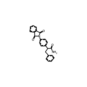 NC(=O)C(Cc1ccccc1)c1ccc(N2C(=O)c3ccccc3C2=O)cc1